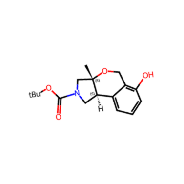 CC(C)(C)OC(=O)N1C[C@@H]2c3cccc(O)c3CO[C@@]2(C)C1